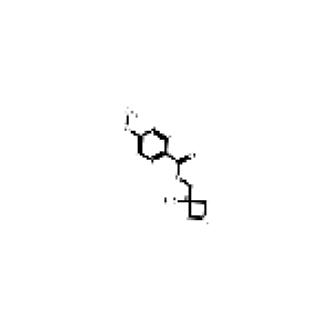 COc1ccc(C(=O)OCC2(C)COC2)cc1